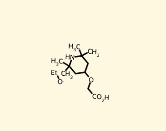 CC1(C)CC(OCC(=O)O)CC(C)(C)N1.CC[O]